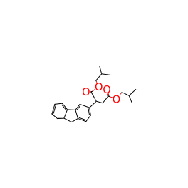 CC(C)COC(=O)CC(C(=O)OCC(C)C)c1ccc2c(c1)-c1ccccc1C2